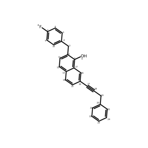 Oc1c(Cc2ccc(F)cc2)ccc2ccc(C#CCc3ccccc3)cc12